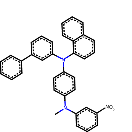 CN(c1ccc(N(c2cccc(-c3ccccc3)c2)c2cccc3ccccc23)cc1)c1cccc([N+](=O)[O-])c1